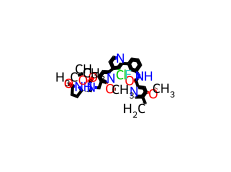 C=Cc1cnc(C(=O)Nc2cccc(-c3nccc(-c4ccc(CN(C[C@@H]5CCC(=O)N5)C(=O)OC(C)(C)C)c(OC)n4)c3Cl)c2F)cc1OC